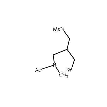 CNCC(CC(C)C)CN(C)C(C)=O